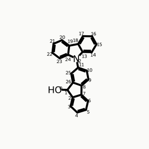 OC1c2ccccc2-c2ccc(-n3c4ccccc4c4ccccc43)cc21